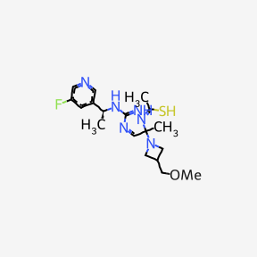 COCC1CN(C(C)(/C=N\C(=N)N[C@@H](C)c2cncc(F)c2)/N=C(/C)S)C1